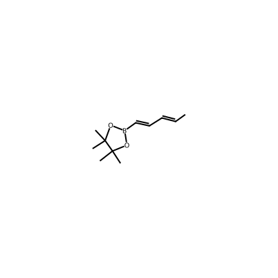 C/C=C/C=C/B1OC(C)(C)C(C)(C)O1